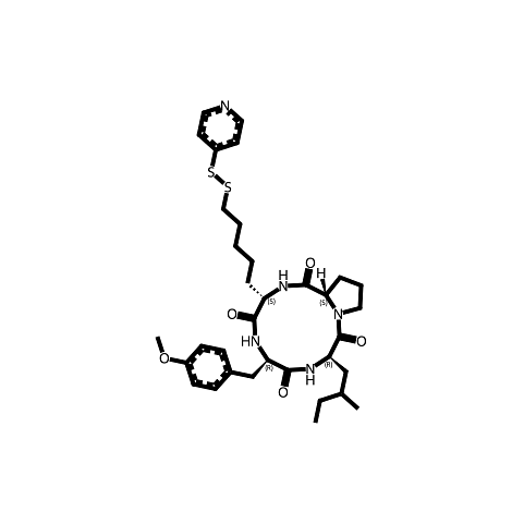 CCC(C)C[C@H]1NC(=O)[C@@H](Cc2ccc(OC)cc2)NC(=O)[C@H](CCCCCSSc2ccncc2)NC(=O)[C@@H]2CCCN2C1=O